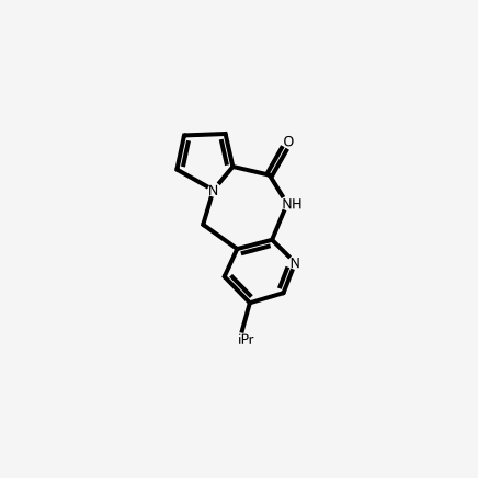 CC(C)c1cnc2c(c1)Cn1cccc1C(=O)N2